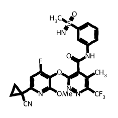 COc1nc(C2(C#N)CC2)cc(F)c1Oc1nnc(C(F)(F)F)c(C)c1C(=O)Nc1cccc(S(C)(=N)=O)c1